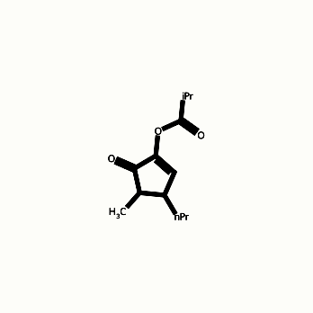 CCCC1C=C(OC(=O)C(C)C)C(=O)C1C